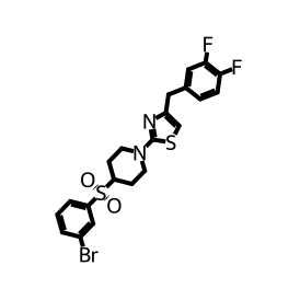 O=S(=O)(c1cccc(Br)c1)C1CCN(c2nc(Cc3ccc(F)c(F)c3)cs2)CC1